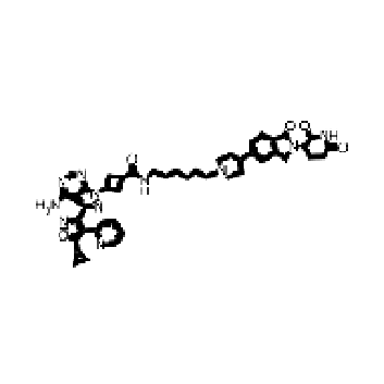 Nc1ncnc2c1c(-c1noc(C3CC3)c1-c1ccccn1)nn2C1CC(C(=O)NCCCCCCN2CCC(c3ccc4c(c3)CN([C@@H]3CCC(=O)NC3=O)C4=O)CC2)C1